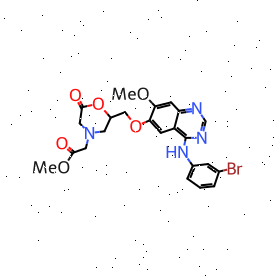 COC(=O)CN1CC(=O)OC(COc2cc3c(Nc4cccc(Br)c4)ncnc3cc2OC)C1